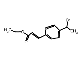 CCOC(=O)/C=C/c1ccc(C(C)Br)cc1